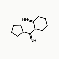 N=C1CCCCN1C(=N)N1CCCC1